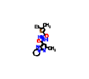 CCc1sc(C(=O)NNC(=O)c2cc(C)nc3c2nc2n3CCCCC2)cc1C